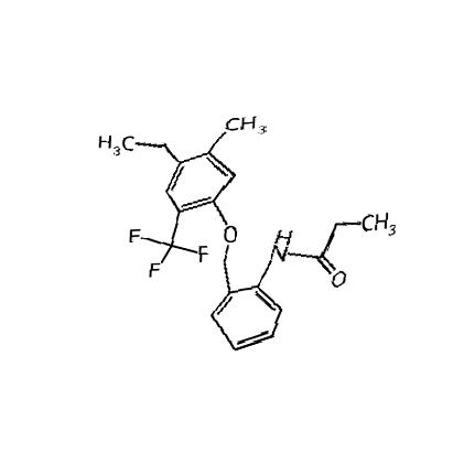 CCC(=O)Nc1ccccc1COc1cc(C)c(CC)cc1C(F)(F)F